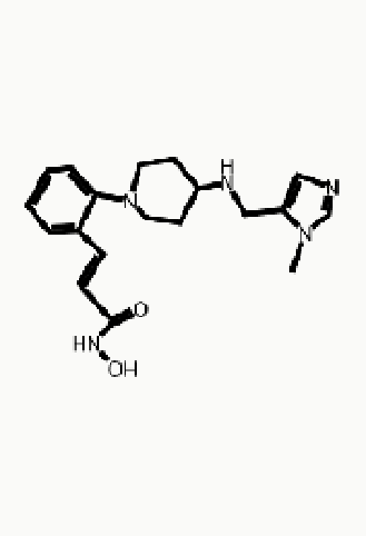 Cn1cncc1CNC1CCN(c2ccccc2/C=C/C(=O)NO)CC1